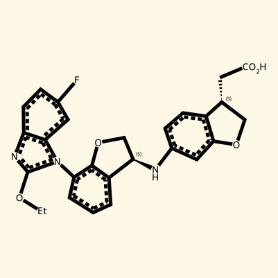 CCOc1nc2ccc(F)cc2n1-c1cccc2c1OC[C@H]2Nc1ccc2c(c1)OC[C@H]2CC(=O)O